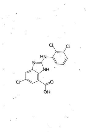 O=C(O)c1cc(Cl)cc2nc(Nc3cccc(Cl)c3Cl)[nH]c12